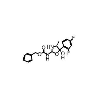 C[C@@H]1NC(NC(=O)OCc2ccccc2)OC1(O)c1ccc(F)cc1F